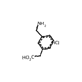 Cl.NCc1cccc(CC(=O)O)c1